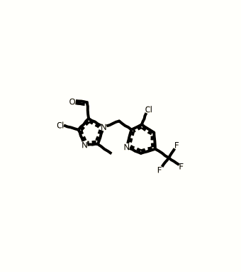 Cc1nc(Cl)c(C=O)n1Cc1ncc(C(F)(F)F)cc1Cl